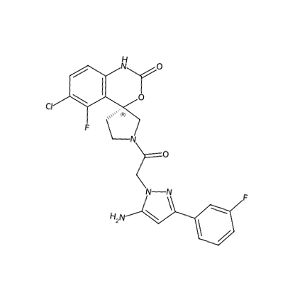 Nc1cc(-c2cccc(F)c2)nn1CC(=O)N1CC[C@@]2(C1)OC(=O)Nc1ccc(Cl)c(F)c12